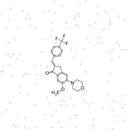 COc1cc2c(cc1N1CCOCC1)CC(=Cc1ccc(C(F)(F)F)cc1)C2=O